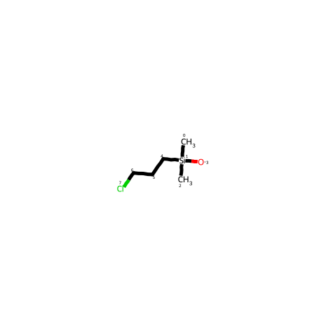 C[Si](C)([O])CCCCl